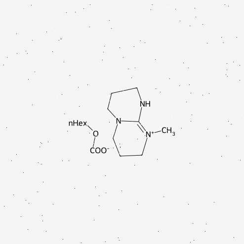 CCCCCCOC(=O)[O-].C[N+]1=C2NCCCN2CCC1